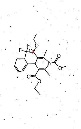 CCOC(=O)C1=C(C)N(C(=O)OC)C(C)=C(C(=O)OCC)C1c1ccccc1C(F)(F)F